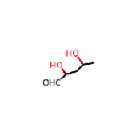 CC(O)CC(O)[C]=O